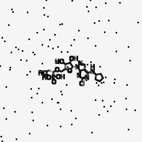 O=P(O)(O)[C@H](CO)OCC1O[C@@H](n2ncc3c(NC4CCCC4)nc(Cl)nc32)[C@H](O)[C@@H]1O